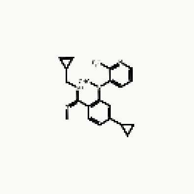 C/N=C(/NCC1CC1)c1ccc(C2CC2)cc1N(C=O)c1cccnc1C(F)(F)F